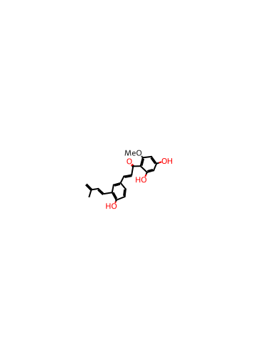 C=C(C)C=Cc1cc(C=CC(=O)c2c(O)cc(O)cc2OC)ccc1O